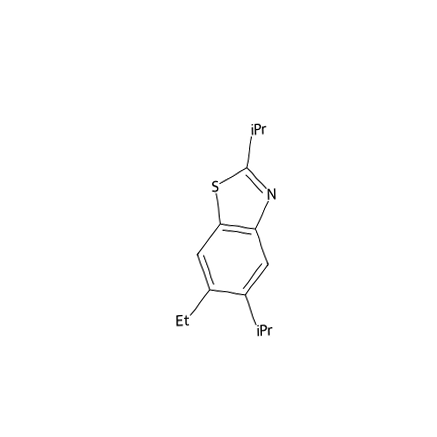 CCc1cc2sc(C(C)C)nc2cc1C(C)C